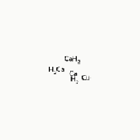 [CaH2].[CaH2].[CaH2].[Cu]